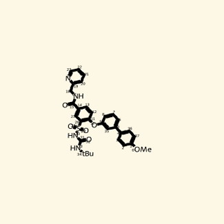 COc1ccc(-c2cccc(Oc3ccc(C(=O)NCc4ccccn4)cc3S(=O)(=O)NC(=O)NC(C)(C)C)c2)cc1